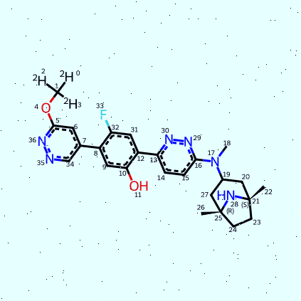 [2H]C([2H])([2H])Oc1cc(-c2cc(O)c(-c3ccc(N(C)C4C[C@]5(C)CC[C@](C)(C4)N5)nn3)cc2F)cnn1